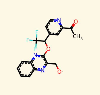 CC(=O)c1cc(C(Oc2nc3ccccc3nc2C[O])C(F)(F)F)ccn1